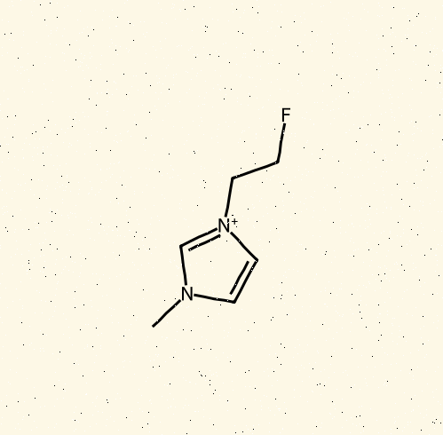 Cn1cc[n+](CCF)c1